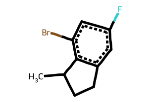 CC1CCc2cc(F)cc(Br)c21